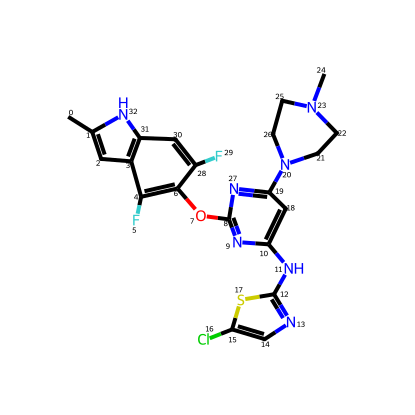 Cc1cc2c(F)c(Oc3nc(Nc4ncc(Cl)s4)cc(N4CCN(C)CC4)n3)c(F)cc2[nH]1